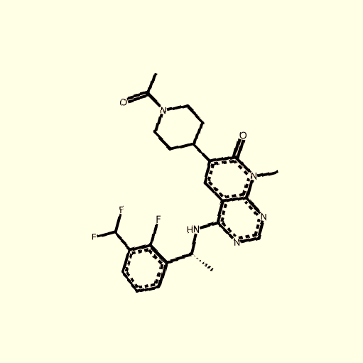 CC(=O)N1CCC(c2cc3c(N[C@H](C)c4cccc(C(F)F)c4F)ncnc3n(C)c2=O)CC1